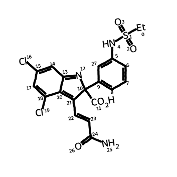 CCS(=O)(=O)Nc1cccc(C2(C(=O)O)N=c3cc(Cl)cc(Cl)c3=C2C=CC(N)=O)c1